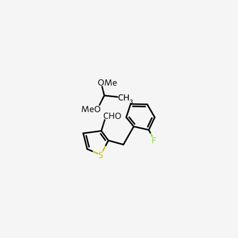 COC(C)OC.O=Cc1ccsc1Cc1ccccc1F